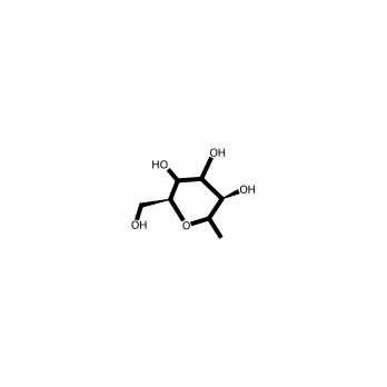 CC1O[C@@H](CO)C(O)C(O)[C@H]1O